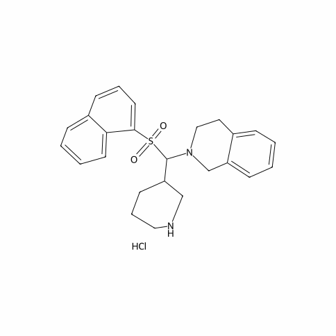 Cl.O=S(=O)(c1cccc2ccccc12)C(C1CCCNC1)N1CCc2ccccc2C1